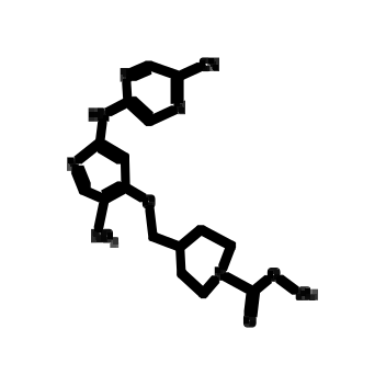 CC(C)(C)OC(=O)N1CCC(COc2cc(Nc3cnc(C#N)cn3)ncc2[N+](=O)[O-])CC1